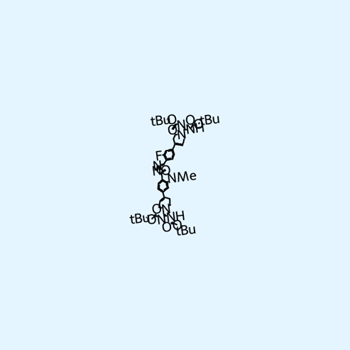 CNc1cc(C2=CCN(/C(=N\C(=O)OC(C)(C)C)NC(=O)OC(C)(C)C)CC2)ccc1-c1nnc(-c2ccc(C3=CCN(/C(=N\C(=O)OC(C)(C)C)NC(=O)OC(C)(C)C)CC3)cc2F)o1